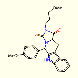 COCCCN1C(=O)C2Cc3c([nH]c4ccccc34)C(c3ccc(OC)cc3)N2C1=S